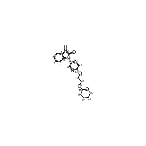 O=c1[nH]c2ccccc2n1-c1cnc(OCCOC2CCCCO2)cn1